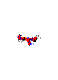 Cc1cc(C(F)(F)F)ccc1C1=C(CN2CCN(c3ccc(C(=O)NS(=O)(=O)c4ccc(NCC5CN(C(=O)C6CC6)CCO5)c([N+](=O)[O-])c4)c(Oc4cnc5[nH]ccc5c4)c3)CC2)CCC(C)(C)C1